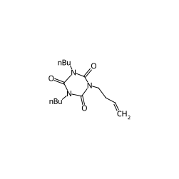 C=CCCn1c(=O)n(CCCC)c(=O)n(CCCC)c1=O